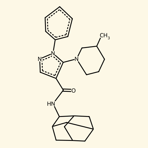 CC1CCCN(c2c(C(=O)NC3C4CC5CC(C4)CC3C5)cnn2-c2ccccc2)C1